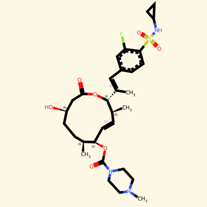 C/C(=C\c1ccc(S(=O)(=O)NC2CC2)c(F)c1)[C@H]1OC(=O)C[C@H](O)CC[C@H](C)[C@H](OC(=O)N2CCN(C)CC2)/C=C/[C@@H]1C